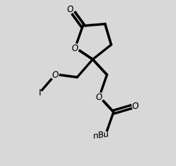 CCCCC(=O)OCC1(COI)CCC(=O)O1